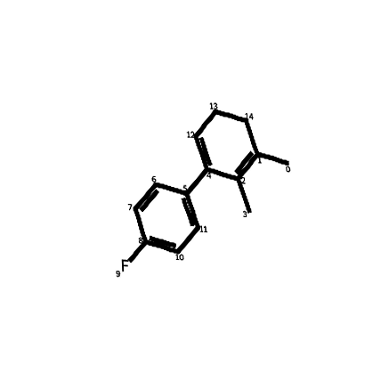 CC1=C(C)C(c2ccc(F)cc2)=CCC1